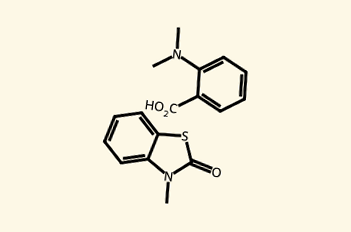 CN(C)c1ccccc1C(=O)O.Cn1c(=O)sc2ccccc21